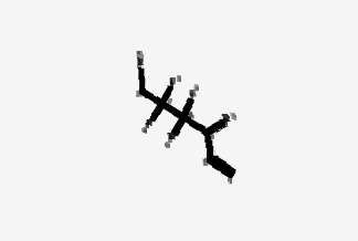 C=CC(F)C(F)(F)C(F)(F)CF